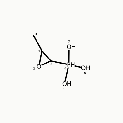 CC1OC1[PH](O)(O)O